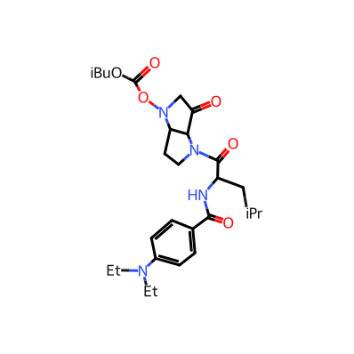 CCN(CC)c1ccc(C(=O)NC(CC(C)C)C(=O)N2CCC3C2C(=O)CN3OC(=O)OCC(C)C)cc1